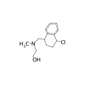 CN(CCO)CC1CCC(Cl)c2ccccc21